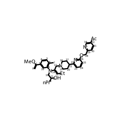 C=C(OC)c1ccc(C)c(N(CC(O)CCC)/C(=C/CC)CN2CCC(c3cccc(OCc4ccc(C(C)=O)cn4)n3)CC2)c1